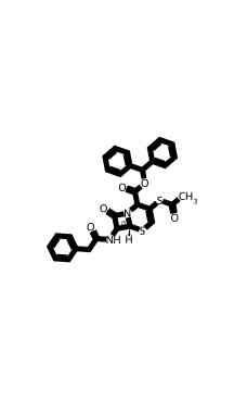 CC(=O)SC1=CS[C@H]2C(NC(=O)Cc3ccccc3)C(=O)N2C1C(=O)OC(c1ccccc1)c1ccccc1